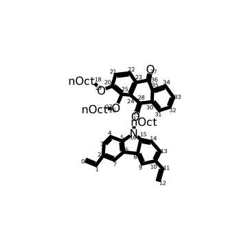 C=Cc1ccc2c(c1)c1cc(C=C)ccc1n2CCCCCCCC.CCCCCCCCOc1ccc2c(c1OCCCCCCCC)C(=O)c1ccccc1C2=O